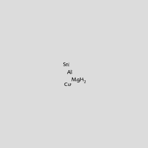 [Al].[Cu].[MgH2].[Sn]